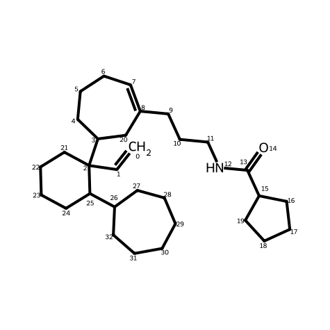 C=CC1(C2CCCC=C(CCCNC(=O)C3CCCC3)C2)CCCCC1C1CCCCCC1